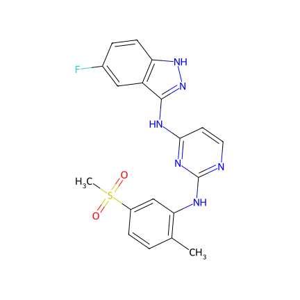 Cc1ccc(S(C)(=O)=O)cc1Nc1nccc(Nc2n[nH]c3ccc(F)cc23)n1